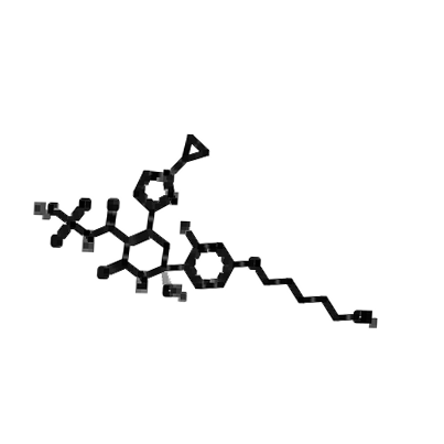 CCCCCCOc1ccc([C@]2(C)CC(c3ccn(C4CC4)n3)=C(C(=O)NS(C)(=O)=O)C(=O)N2)c(F)c1